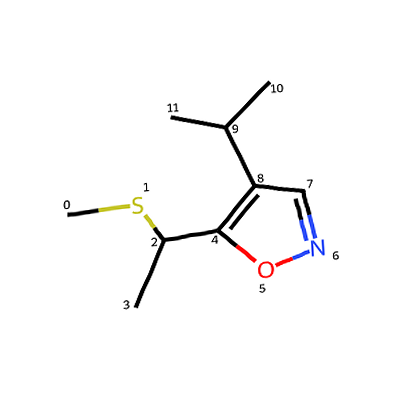 CSC(C)c1oncc1C(C)C